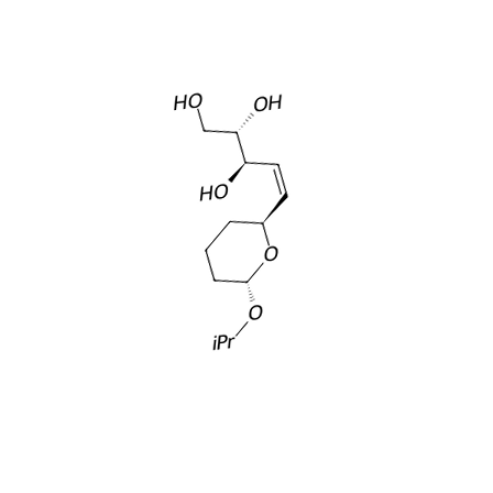 CC(C)O[C@@H]1CCC[C@@H](/C=C\[C@@H](O)[C@@H](O)CO)O1